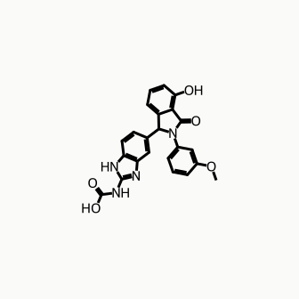 COc1cccc(N2C(=O)c3c(O)cccc3C2c2ccc3[nH]c(NC(=O)O)nc3c2)c1